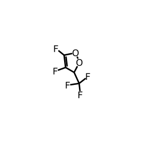 FC1=C(F)C(C(F)(F)F)OO1